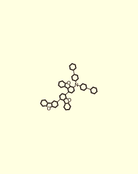 c1ccc(-c2ccc(N(c3ccc(-c4ccccc4)cc3)c3ccc(-c4ccc(-c5ccc6oc7ccccc7c6c5)c5c4oc4ccccc45)c4c3oc3ccccc34)cc2)cc1